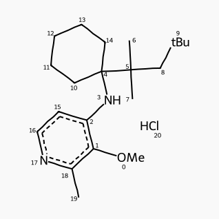 COc1c(NC2(C(C)(C)CC(C)(C)C)CCCCC2)ccnc1C.Cl